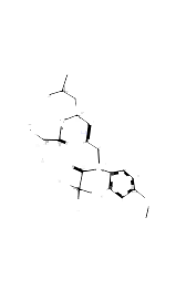 COc1ccc(N(C/C=C/[C@H](CC(C)C)NC(=O)[C@H](C)N)C(=O)C(F)(F)F)cc1